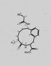 COC(=O)C1Cc2cccc(c2)[C@@H](NC(=O)OC(C)(C)C)CCC[C@@H](C)C(=O)N1